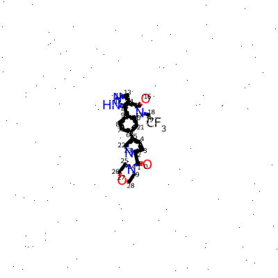 O=C(c1ccc(-c2ccc3c4[nH]ncc4c(=O)n(CC(F)(F)F)c3c2)cn1)N1CCOCC1